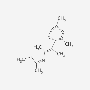 CC/C(C)=N\C(C)=C(/C)c1ccc(C)cc1C